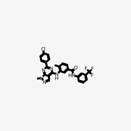 Cc1ccc(C(=O)Nc2cccc(C(F)(F)F)c2)cc1Nc1nc(-c2ccc(Cl)cc2)nc2c1cnn2C